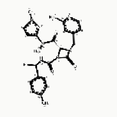 CCC(NC(=O)N1C(=O)[C@H](Cc2ccnc(N)c2)[C@H]1C(=O)N(C)c1ccn(C)n1)c1ccc(C)cc1